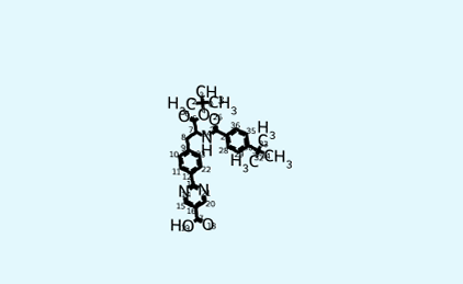 CC(C)(C)OC(=O)C(Cc1ccc(-c2ncc(C(=O)O)cn2)cc1)NC(=O)c1ccc(C(C)(C)C)cc1